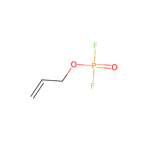 C=CCOP(=O)(F)F